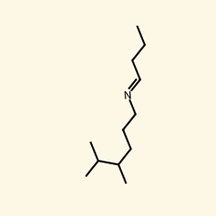 CCC/C=N/CCCC(C)C(C)C